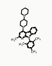 Cc1cc(C)c(-n2c3ccccc3c3c(N4CCC(N5CCCCC5)CC4)cc(C)nc32)c(C)c1